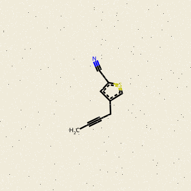 [CH2]C#CCc1csc(C#N)c1